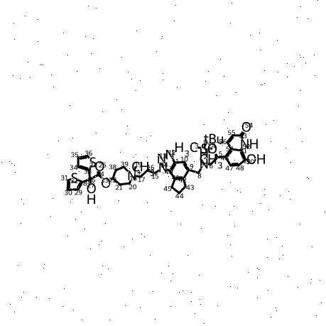 CC(C)(C)[Si](C)(C)OC(CNCc1cc2nnn(CCC[N+]3(C)CCC(OC(=O)C(O)(c4cccs4)c4cccs4)CC3)c2c2c1CCC2)c1ccc(O)c2[nH]c(=O)ccc12